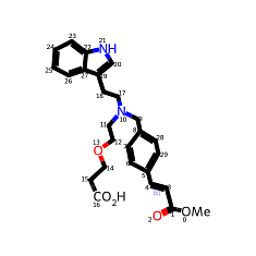 COC(=O)/C=C/c1ccc(CN(CCOCCC(=O)O)CCc2c[nH]c3ccccc23)cc1